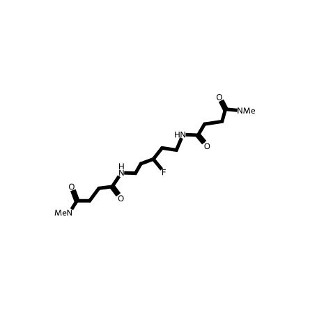 CNC(=O)CCC(=O)NCCC(F)CCNC(=O)CCC(=O)NC